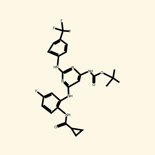 CC(C)(C)OC(=O)Nc1cc(Nc2cc(F)ccc2NC(=O)C2CC2)nc(Nc2ccc(C(F)(F)F)cc2)n1